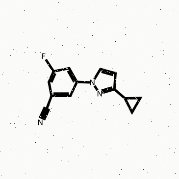 N#Cc1cc(F)cc(-n2ccc(C3CC3)n2)c1